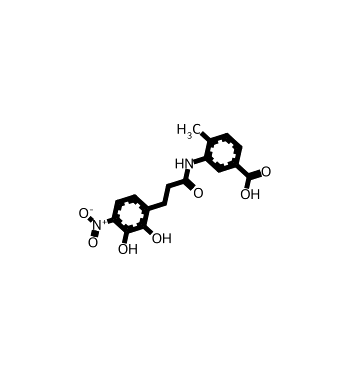 Cc1ccc(C(=O)O)cc1NC(=O)CCc1ccc([N+](=O)[O-])c(O)c1O